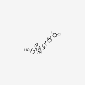 C=C/C(=N\c1c(C)nc(CN2CCC(=Cc3cccc(Cc4ccc(Cl)cc4F)n3)CC2)n1C[C@@H]1CCO1)C(=O)O